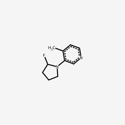 Cc1ccn[c]c1N1CCCC1F